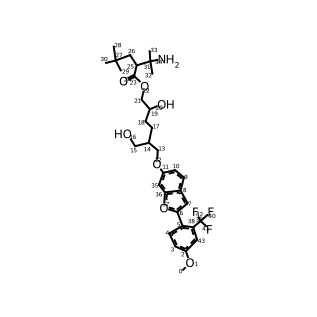 COc1ccc(-c2cc3ccc(OCC(CO)CCC(O)COC(=O)C(CC(C)(C)C)C(C)(C)N)cc3o2)c(C(F)(F)F)c1